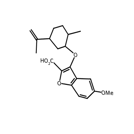 C=C(C)C1CCC(C)C(Oc2c(C(=O)O)oc3ccc(OC)cc23)C1